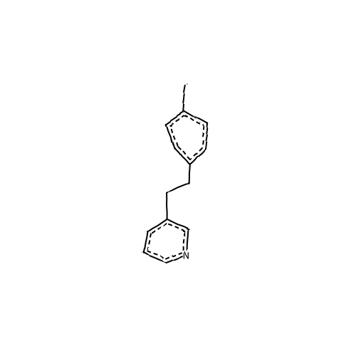 [CH2]c1ccc(CCc2cccnc2)cc1